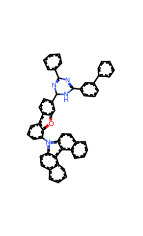 c1ccc(C2=NC(c3ccc4c(c3)oc3c(-n5c6ccc7ccccc7c6c6c7ccccc7ccc65)cccc34)NC(c3cccc(-c4ccccc4)c3)=N2)cc1